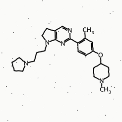 Cc1cc(OC2CCN(C)CC2)ccc1-c1ncc2c(n1)N(CCCN1CCCC1)CC2